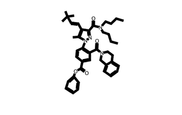 CCCCN(CCCC)C(=O)c1nn(-c2ccc(C(=O)Oc3ccccc3)cc2C(=O)N2CCc3ccccc3C2)c(C)c1/C=C/C(C)(C)C